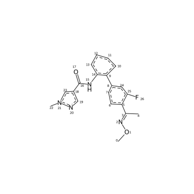 CO/N=C(\C)c1ccc(-c2ccccc2NC(=O)c2cnn(C)c2)cc1F